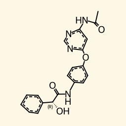 CC(=O)Nc1cc(Oc2ccc(NC(=O)[C@H](O)c3ccccc3)cc2)ncn1